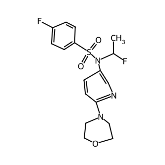 CC(F)N(c1ccc(N2CCOCC2)nc1)S(=O)(=O)c1ccc(F)cc1